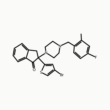 Cc1cc(F)ccc1CN1CCN(C2(c3cc(Br)cs3)Cc3ccccc3C2=O)CC1